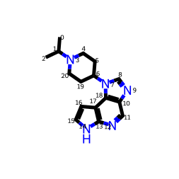 CC(C)N1CCC(n2cnc3cnc4[nH]ccc4c32)CC1